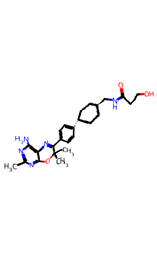 Cc1nc(N)c2c(n1)OC(C)(C)C(c1ccc([C@H]3CC[C@H](CNC(=O)CCO)CC3)cc1)=N2